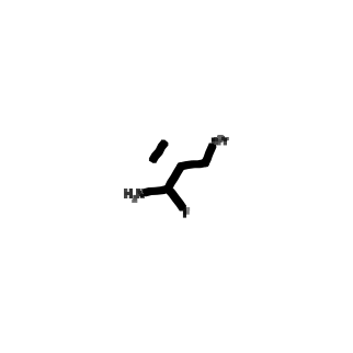 CC.CCCCCC(N)F